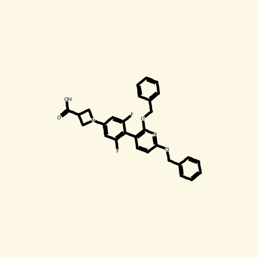 O=C(O)C1CN(c2cc(F)c(-c3ccc(OCc4ccccc4)nc3OCc3ccccc3)c(F)c2)C1